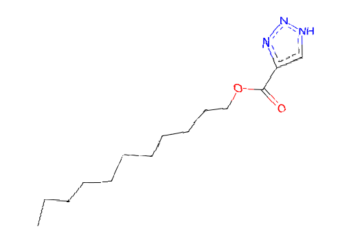 CCCCCCCCCCCOC(=O)c1c[nH]nn1